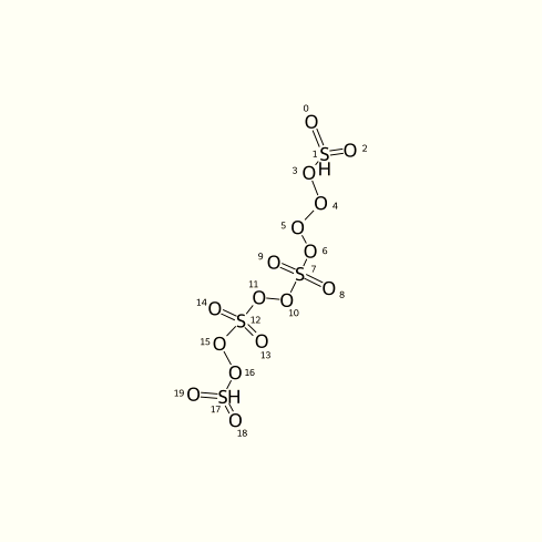 O=[SH](=O)OOOOS(=O)(=O)OOS(=O)(=O)OO[SH](=O)=O